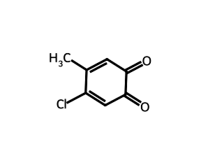 CC1=CC(=O)C(=O)C=C1Cl